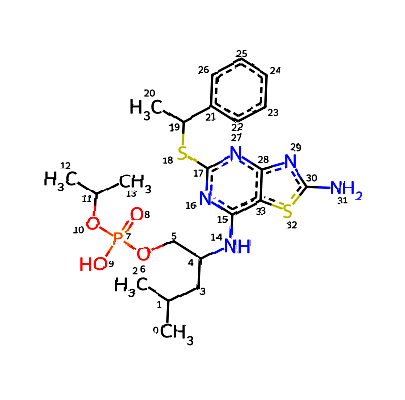 CC(C)CC(COP(=O)(O)OC(C)C)Nc1nc(SC(C)c2ccccc2)nc2nc(N)sc12